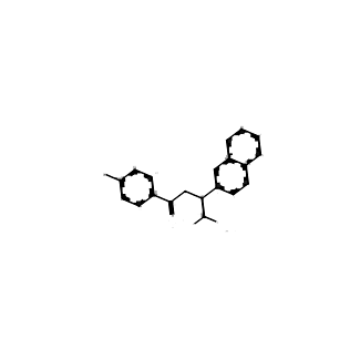 O=C(CC(c1ccc2ccccc2c1)C(C(=O)O)C(=O)O)c1ccc(I)cc1